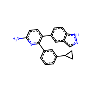 Nc1ccc(-c2ccc3[nH]ncc3c2)c(-c2cccc(C3CC3)c2)n1